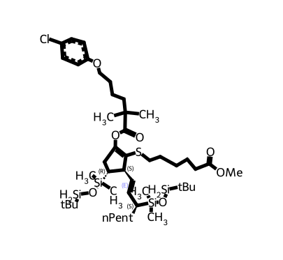 CCCCC[C@@H](/C=C/[C@@H]1C(SCCCCCC(=O)OC)=C(OC(=O)C(C)(C)CCCCOc2ccc(Cl)cc2)C[C@H]1[Si](C)(C)O[SiH2]C(C)(C)C)[Si](C)(C)O[SiH2]C(C)(C)C